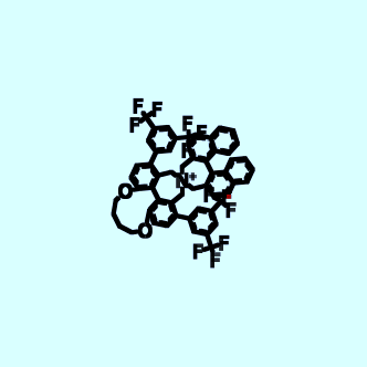 FC(F)(F)c1cc(-c2ccc3c4c2C[N+]2(Cc5ccc6ccccc6c5-c5c(ccc6ccccc56)C2)Cc2c(-c5cc(C(F)(F)F)cc(C(F)(F)F)c5)ccc(c2-4)OCCCCO3)cc(C(F)(F)F)c1